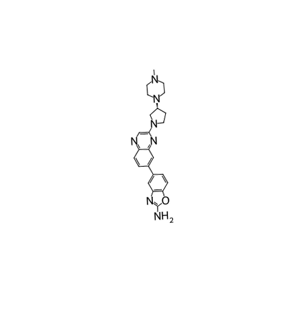 CN1CCN([C@H]2CCN(c3cnc4ccc(-c5ccc6oc(N)nc6c5)cc4n3)C2)CC1